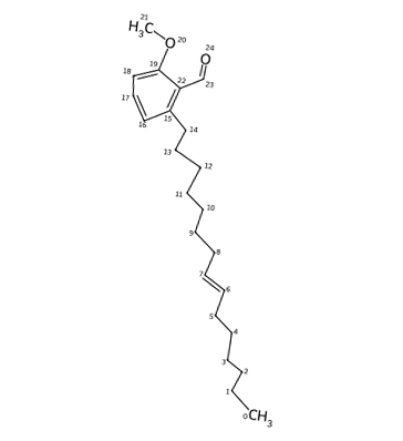 CCCCCCC=CCCCCCCCc1cccc(OC)c1C=O